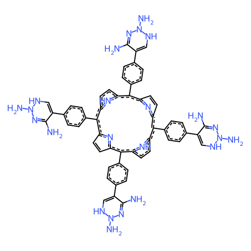 NC1=NN(N)NC=C1c1ccc(-c2c3nc(c(-c4ccc(C5=CNN(N)N=C5N)cc4)c4ccc([nH]4)c(-c4ccc(C5=CNN(N)N=C5N)cc4)c4nc(c(-c5ccc(C6=CNN(N)N=C6N)cc5)c5ccc2[nH]5)C=C4)C=C3)cc1